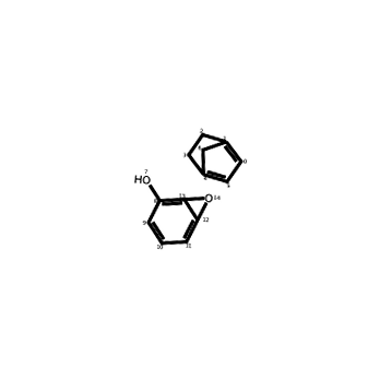 C1=C2CCC(=C1)C2.Oc1cccc2c1O2